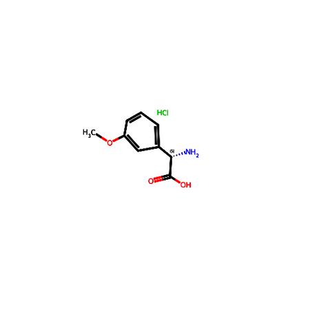 COc1cccc([C@H](N)C(=O)O)c1.Cl